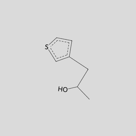 CC(O)Cc1ccsc1